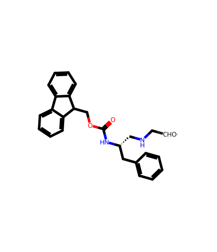 O=[C]CNC[C@H](Cc1ccccc1)NC(=O)OCC1c2ccccc2-c2ccccc21